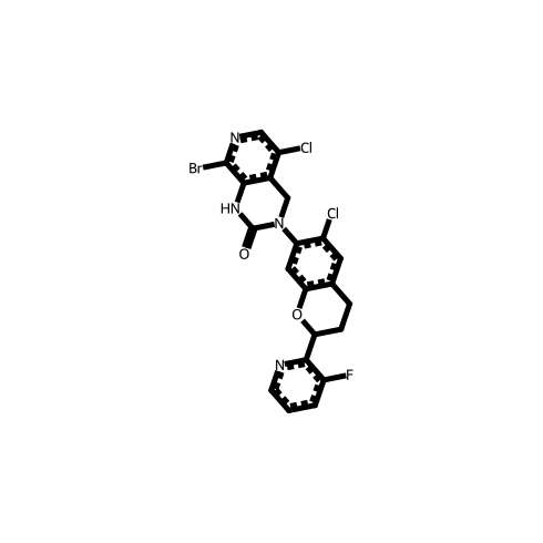 O=C1Nc2c(Br)ncc(Cl)c2CN1c1cc2c(cc1Cl)CCC(c1ncccc1F)O2